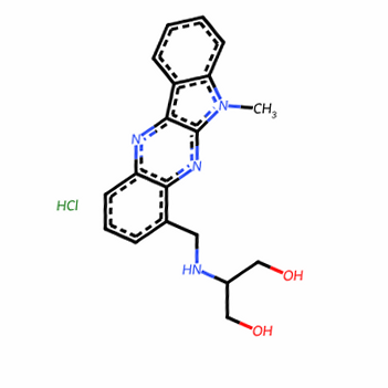 Cl.Cn1c2ccccc2c2nc3cccc(CNC(CO)CO)c3nc21